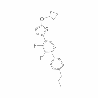 CCCc1ccc(-c2ccc(-c3ccc(OC4CCC4)s3)c(F)c2F)cc1